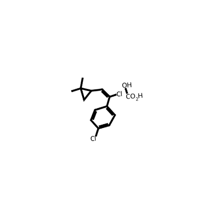 CC1(C)CC1/C=C(/Cl)c1ccc(Cl)cc1.O=C(O)O